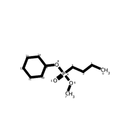 CCCCP(=O)(OC)OC1CCCCC1